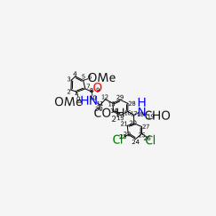 COc1cccc(OC)c1C(=O)N[C@@H](Cc1ccc(C(NC=O)c2cc(Cl)cc(Cl)c2)cc1)C(=O)O